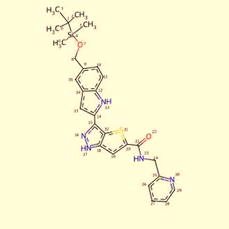 CC(C)(C)[Si](C)(C)OCc1ccc2[nH]c(-c3n[nH]c4cc(C(=O)NCc5ccccn5)sc34)cc2c1